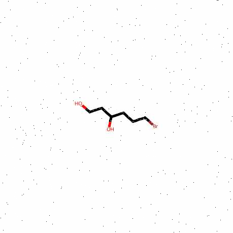 OCCC(O)CCCBr